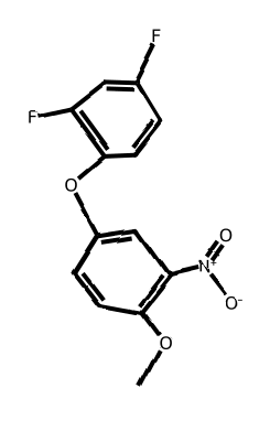 COc1ccc(Oc2ccc(F)cc2F)cc1[N+](=O)[O-]